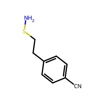 N#Cc1ccc(CCSN)cc1